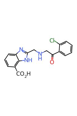 O=C(CNCc1nc2cccc(C(=O)O)c2[nH]1)c1ccccc1Cl